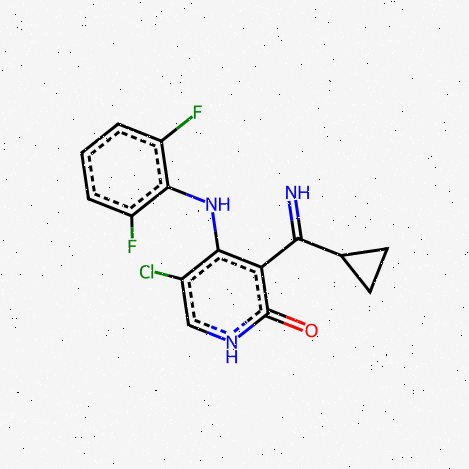 N=C(c1c(Nc2c(F)cccc2F)c(Cl)c[nH]c1=O)C1CC1